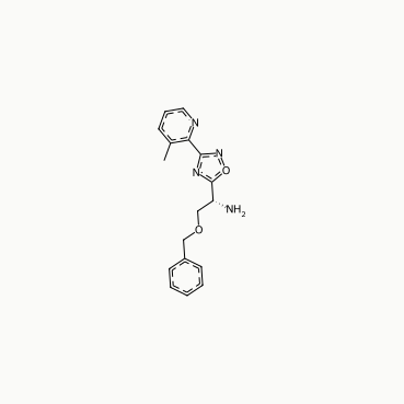 Cc1cccnc1-c1noc([C@H](N)COCc2ccccc2)n1